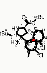 Cc1cc([C@@]2(N)[C@H](CC(C)(C)C)N[C@@H](C(=O)OC(C)(C)C)[C@@H]2c2cccc(Cl)c2F)ccc1Cl